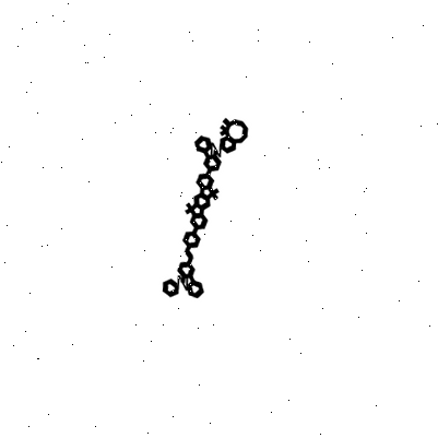 C=C1/C=C\C=C/Cc2ccc(-n3c4ccccc4c4cc(-c5ccc6c(c5)C(C)(C)c5cc7c(cc5-6)C(C)(C)c5cc(-c6ccc(/C=C/c8ccc9c(c8)c8ccccc8n9-c8ccccc8)cc6)ccc5-7)ccc43)cc2C1(C)C